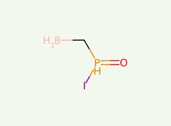 BC[PH](=O)I